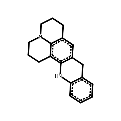 c1ccc2c(c1)Cc1cc3c4c(c1N2)CCCN4CCC3